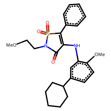 COCCN1C(=O)C(Nc2cc(C3CCCCC3)ccc2OC)=C(c2ccccc2)S1(=O)=O